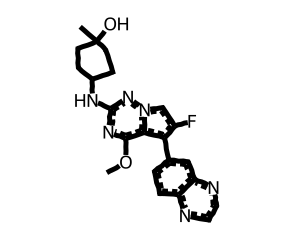 COc1nc(NC2CCC(C)(O)CC2)nn2cc(F)c(-c3ccc4nccnc4c3)c12